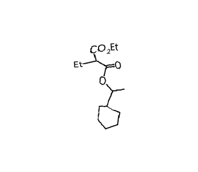 CCOC(=O)C(CC)C(=O)OC(C)C1CCCCC1